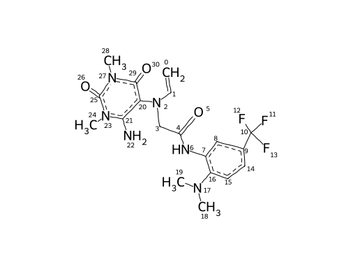 C=CN(CC(=O)Nc1cc(C(F)(F)F)ccc1N(C)C)c1c(N)n(C)c(=O)n(C)c1=O